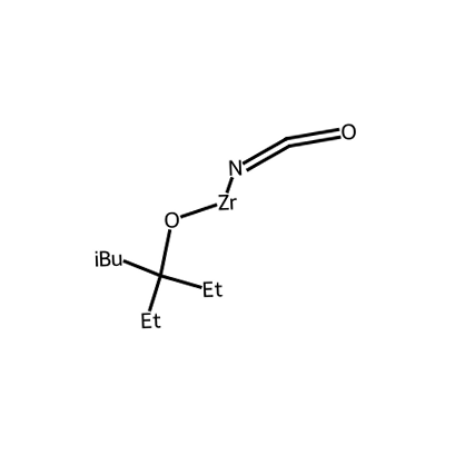 CCC(C)C(CC)(CC)[O][Zr][N]=C=O